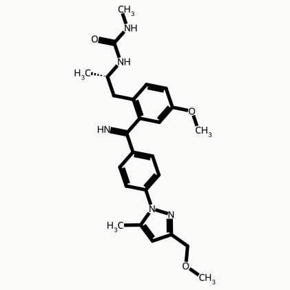 CNC(=O)N[C@@H](C)Cc1ccc(OC)cc1C(=N)c1ccc(-n2nc(COC)cc2C)cc1